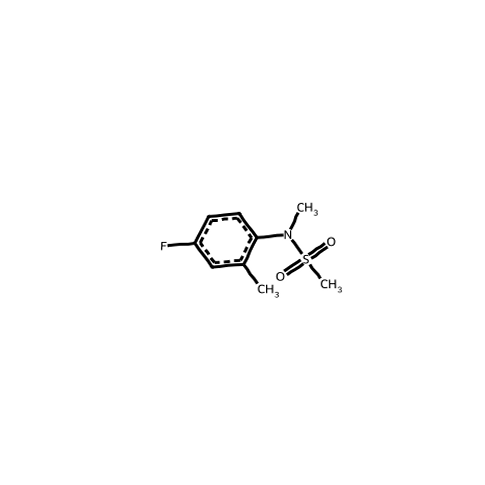 Cc1cc(F)ccc1N(C)S(C)(=O)=O